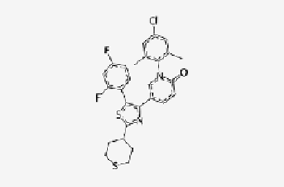 Cc1cc(Cl)cc(C)c1-n1cc(-c2nc(C3CCSCC3)sc2-c2ccc(F)cc2F)ccc1=O